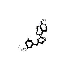 O/N=C1\CCCc2c1cnn2-c1cc(Cc2cc(F)cc(C(F)(F)F)c2)ccn1